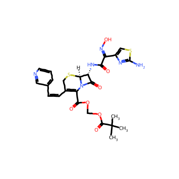 CC(C)(C)C(=O)OCOC(=O)C1=C(/C=C\c2cccnc2)CS[C@H]2[C@H](NC(=O)C(=NO)c3csc(N)n3)C(=O)N12